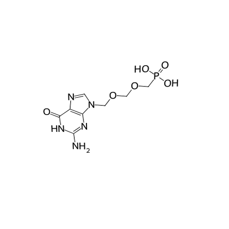 Nc1nc2c(ncn2COCOCP(=O)(O)O)c(=O)[nH]1